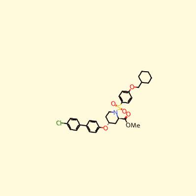 COC(=O)[C@H]1C[C@H](Oc2ccc(-c3ccc(Cl)cc3)cc2)CCN1S(=O)(=O)c1ccc(OCC2CCCCC2)cc1